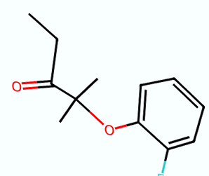 CCC(=O)C(C)(C)Oc1ccccc1F